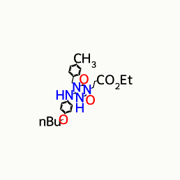 CCCCOc1ccc(NC2NC(=O)N(CCC(=O)OCC)C(=O)N2Cc2ccc(C)cc2)cc1